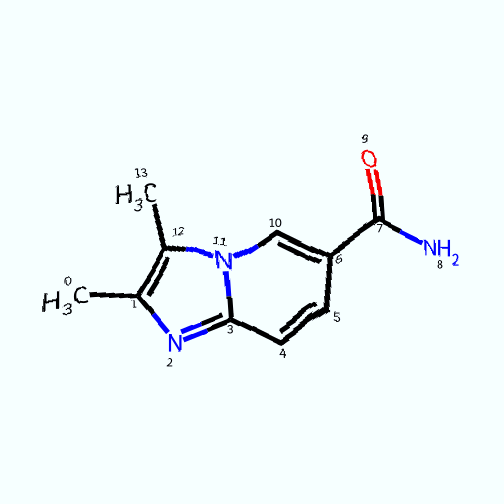 Cc1nc2ccc(C(N)=O)cn2c1C